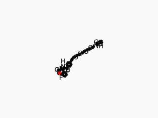 COC(=O)c1c[nH]c(C(=O)c2ccc(C#CCOCCOCCOCCOCCNC(=O)OC(C)(C)C)cc2)c1-c1c(F)ccc(F)c1C